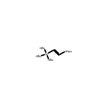 CCCCCC/C=[CH]/[Sn]([CH2]CCC)([CH2]CCC)[CH2]CCC